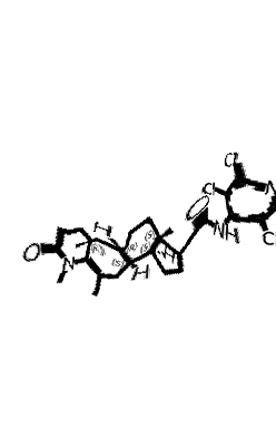 CC1=C2N(C)C(=O)CC[C@]2(C)[C@@H]2CC[C@]3(C)C(C(=O)Nc4c(Cl)cnc(Cl)c4Cl)CC[C@H]3[C@@H]2C1